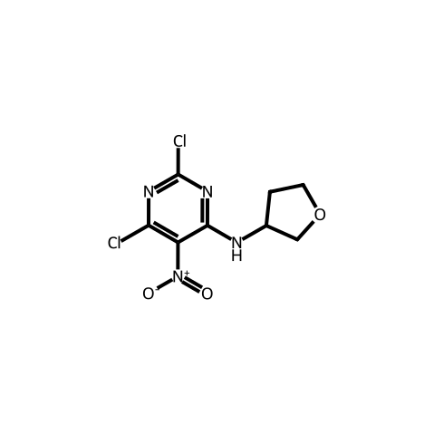 O=[N+]([O-])c1c(Cl)nc(Cl)nc1NC1CCOC1